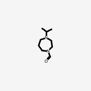 CC(C)N1CCCN(C=O)CC1